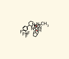 Cc1noc(N2CC3CCC(C2)C3Nc2nc3n(n2)CCCC3c2ccc(F)c(C(F)(F)F)c2)n1